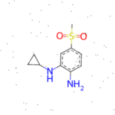 CS(=O)(=O)c1ccc(N)c(NC2CC2)c1